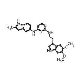 COc1cc2[nH]cc(CCNc3nccc(Nc4ccc5[nH]c(C)cc5c4)n3)c2cc1OC